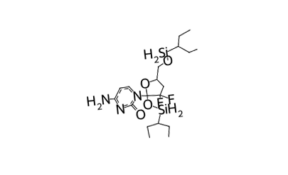 CCC(CC)[SiH2]OCC1CC(F)(F)C(O[SiH2]C(CC)CC)(n2ccc(N)nc2=O)O1